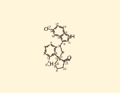 Cc1ccccc1[N+]1(CCc2c[nH]c3ccc(Cl)cc23)CCCC1=O